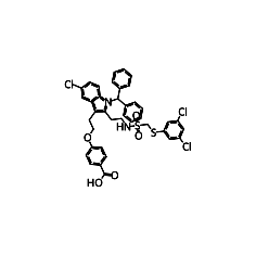 O=C(O)c1ccc(OCCc2c(CCNS(=O)(=O)CSc3cc(Cl)cc(Cl)c3)n(C(c3ccccc3)c3ccccc3)c3ccc(Cl)cc23)cc1